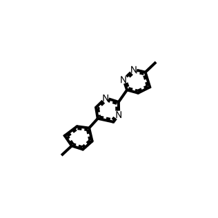 Cc1ccc(-c2cnc(-c3ccc(C)nn3)nc2)cc1